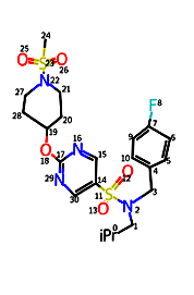 CC(C)CN(Cc1ccc(F)cc1)S(=O)(=O)c1cnc(OC2CCN(S(C)(=O)=O)CC2)nc1